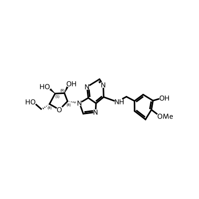 COc1ccc(CNc2ncnc3c2ncn3[C@@H]2O[C@H](CO)[C@@H](O)[C@H]2O)cc1O